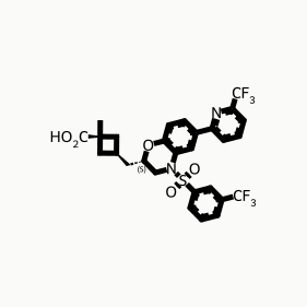 C[C@]1(C(=O)O)C[C@@H](C[C@H]2CN(S(=O)(=O)c3cccc(C(F)(F)F)c3)c3cc(-c4cccc(C(F)(F)F)n4)ccc3O2)C1